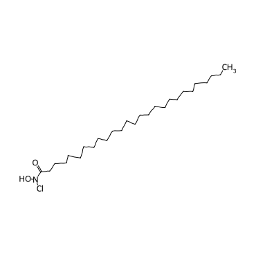 CCCCCCCCCCCCCCCCCCCCCCCCCCC(=O)N(O)Cl